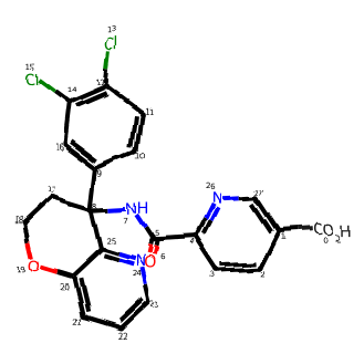 O=C(O)c1ccc(C(=O)NC2(c3ccc(Cl)c(Cl)c3)CCOc3cccnc32)nc1